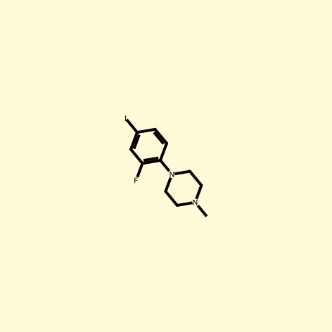 CN1CCN(c2ccc(I)cc2F)CC1